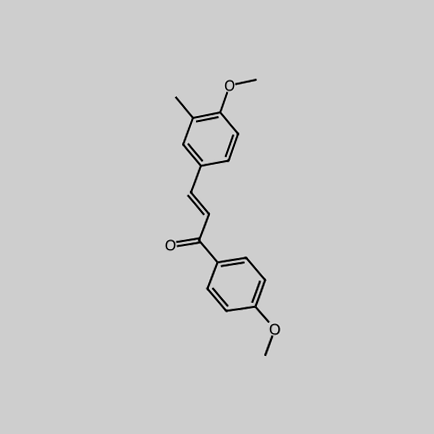 COc1ccc(C(=O)/C=C/c2ccc(OC)c(C)c2)cc1